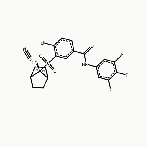 N#C[C@@H]1CC2CCC1[C@@H]2S(=O)(=O)c1cc(C(=O)Nc2cc(F)c(F)c(F)c2)ccc1Cl